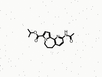 CC(=O)Nc1ccc2c(n1)-c1ccc(C(=O)OC(C)C)n1CCC2